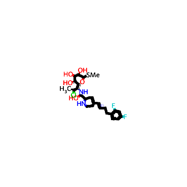 CSC1O[C@H]([C@H](NC(O)C2CC=C(/C=C/CCc3ccc(F)cc3F)CCN2)[C@H](C)Cl)[C@@H](O)C(O)[C@H]1O